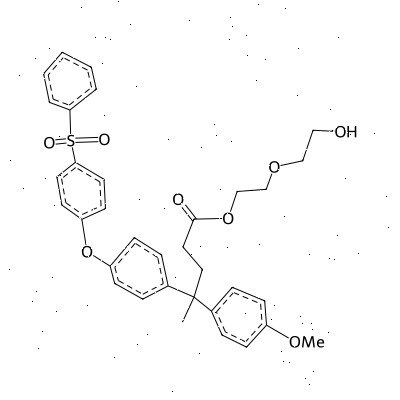 COc1ccc(C(C)(CCC(=O)OCCOCCO)c2ccc(Oc3ccc(S(=O)(=O)c4ccccc4)cc3)cc2)cc1